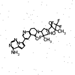 CC1(F)CN(C(=O)C(C)(O)C(F)(F)F)CC1N1CCc2ncc(-c3ccc4c(N)ncnn34)cc2C1=O